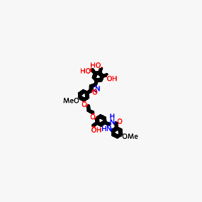 COc1ccc2c(c1)C(=O)NC(c1ccc(OCCCOc3cc(-c4cc(-c5cc(CO)c(CO)c(CO)c5)no4)ccc3OC)c(CO)c1)N2